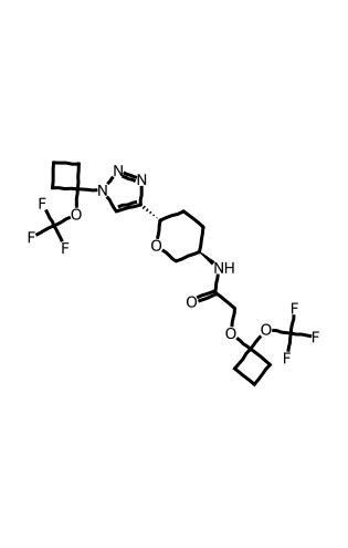 O=C(COC1(OC(F)(F)F)CCC1)N[C@@H]1CC[C@@H](c2cn(C3(OC(F)(F)F)CCC3)nn2)OC1